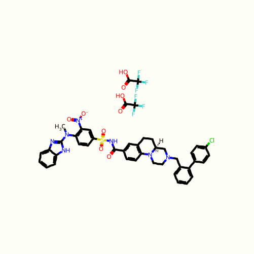 CN(c1nc2ccccc2[nH]1)c1ccc(S(=O)(=O)NC(=O)c2ccc3c(c2)CC[C@H]2CN(Cc4ccccc4-c4ccc(Cl)cc4)CCN32)cc1[N+](=O)[O-].O=C(O)C(F)(F)F.O=C(O)C(F)(F)F